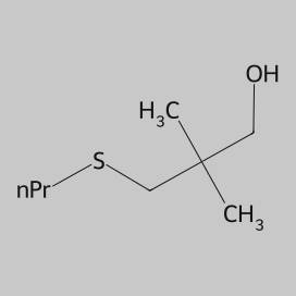 CCCSCC(C)(C)CO